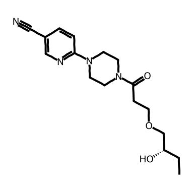 CC[C@H](O)COCCC(=O)N1CCN(c2ccc(C#N)cn2)CC1